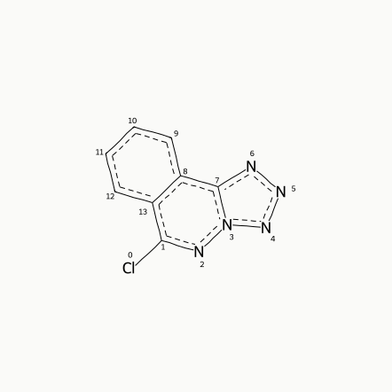 Clc1nn2nnnc2c2ccccc12